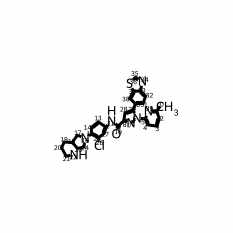 Cc1cccc(-n2nc(C(=O)Nc3ccc(N4CC5CCCNC5C4)c(Cl)c3)cc2-c2ccc3ncsc3c2)n1